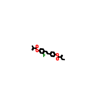 C=C(C)C(=O)Oc1ccc(/C=C/c2ccc(OC(=O)C(=C)CC)cc2)c(F)c1